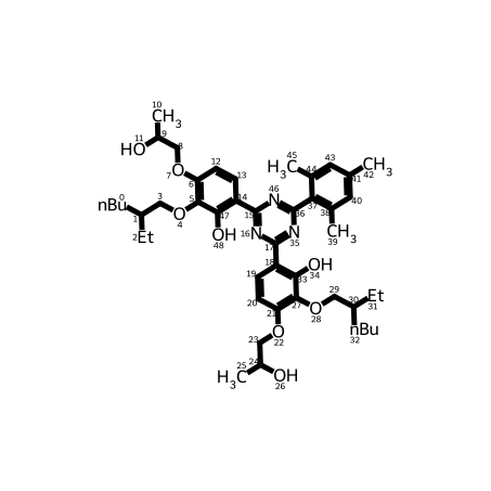 CCCCC(CC)COc1c(OCC(C)O)ccc(-c2nc(-c3ccc(OCC(C)O)c(OCC(CC)CCCC)c3O)nc(-c3c(C)cc(C)cc3C)n2)c1O